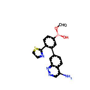 Nc1cnnc2cc(-c3cc(B(O)OC=O)ccc3-c3nccs3)ccc12